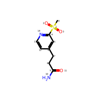 CS(=O)(=O)c1cc(CCC(N)=O)ccn1